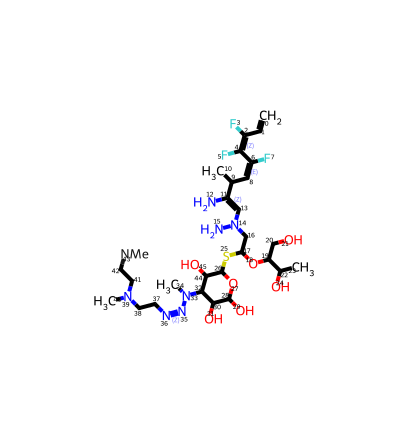 C=C/C(F)=C(F)\C(F)=C/C(C)/C(N)=C/N(N)CC(OC(CO)C(C)O)SC1OC(O)C(O)C(N(C)/N=N\CCN(C)CCNC)C1O